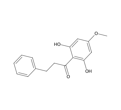 COc1cc(O)c(C(=O)CCc2ccccc2)c(O)c1